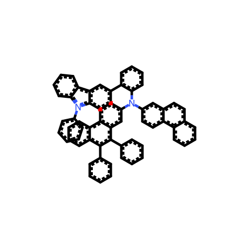 c1ccc(-c2c(-c3ccccc3)c3cc(N(c4ccc5c(ccc6ccccc65)c4)c4ccccc4-c4ccc5c(c4)c4ccccc4n5-c4ccccc4)ccc3c3ccccc23)cc1